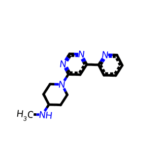 CNC1CCN(c2cc(-c3ccccn3)ncn2)CC1